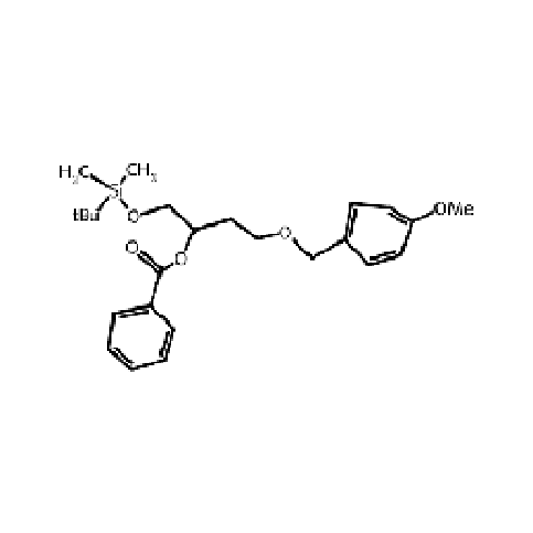 COc1ccc(COCCC(CO[Si](C)(C)C(C)(C)C)OC(=O)c2ccccc2)cc1